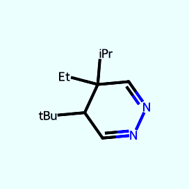 CCC1(C(C)C)C=NN=CC1C(C)(C)C